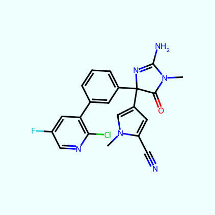 CN1C(=O)C(c2cccc(-c3cc(F)cnc3Cl)c2)(c2cc(C#N)n(C)c2)N=C1N